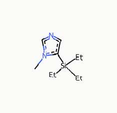 CC[Si](CC)(CC)c1cncn1C